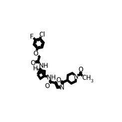 CC(=O)N1CCC(c2ncc(C(=O)NC34CC(C3)[C@@H](NC(=O)COc3ccc(Cl)c(F)c3)C4)o2)CC1